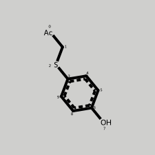 CC(=O)CSc1ccc(O)cc1